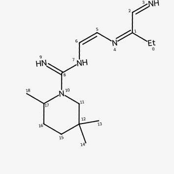 CC/C(C=N)=N/C=C\NC(=N)N1CC(C)(C)CCC1C